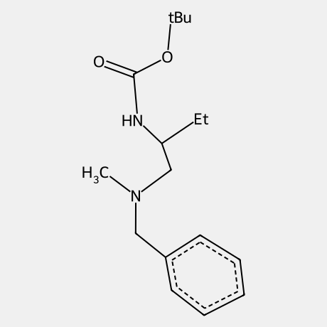 CCC(CN(C)Cc1ccccc1)NC(=O)OC(C)(C)C